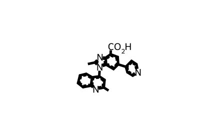 Cc1cc(-n2c(C)nc3c(C(=O)O)cc(-c4ccncc4)cc32)c2ccccc2n1